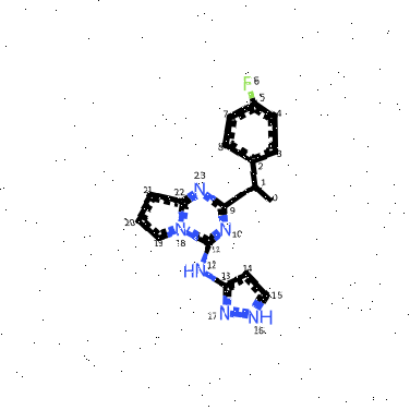 CC(c1ccc(F)cc1)c1nc(Nc2cc[nH]n2)n2cccc2n1